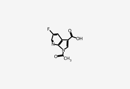 CC(=O)n1cc(C(=O)O)c2cc(F)cnc21